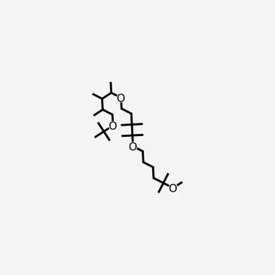 COC(C)(C)CCCCOC(C)(C)C(C)(C)CCOC(C)C(C)C(C)COC(C)(C)C